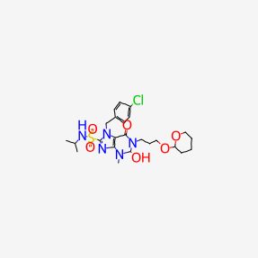 CC(C)NS(=O)(=O)c1nc2c(n1Cc1ccc(Cl)cc1)C(=O)N(CCCOC1CCCCO1)C(O)N2C